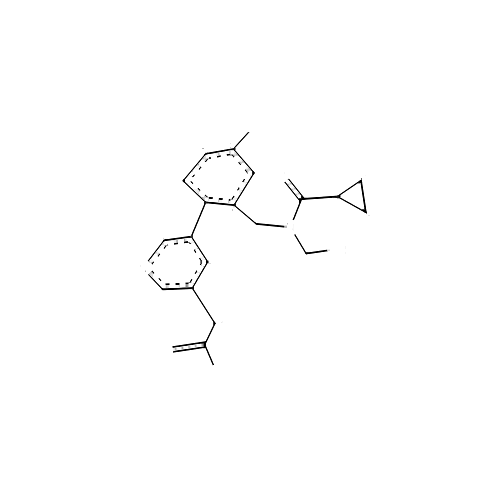 CCN(Cc1cc(F)ccc1-c1cncc(CC(=O)O)c1)C(=O)C1CC1